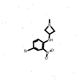 CN1CC(Nc2ccc(Br)cc2[N+](=O)[O-])C1